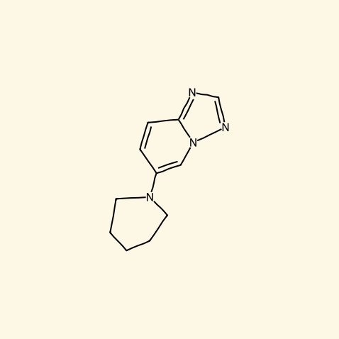 c1nc2ccc(N3CCCCC3)cn2n1